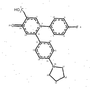 O=C(O)c1cn(-c2ccc(F)cc2)c(-c2ccc(N3CCCC3)cc2)cc1=O